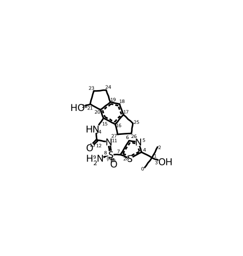 CC(C)(O)c1ncc([S@](N)(=O)=NC(=O)Nc2c3c(cc4c2C(O)CC4)CCC3)s1